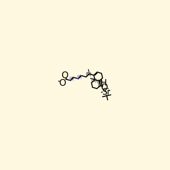 COC(=O)/C=C/C=C/C[C@@H](C)C1=CCC[C@H]2[C@@H](O[Si](C)(C)C(C)(C)C)CCC[C@]12C